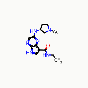 CC(=O)N1CC[C@H](Nc2cnc3[nH]cc(C(=O)NCC(F)(F)F)c3n2)C1